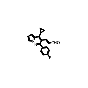 O=C/C=C/c1c(-c2ccc(F)cc2)nn2cccc2c1C1CC1